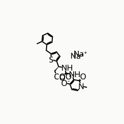 Cc1ccccc1Cc1ccc([C@H](CC(=O)[O-])NC(=O)Nc2c([O-])ccn(C)c2=O)s1.[Na+].[Na+]